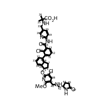 COc1nc(O[C@H]2CCc3c(-c4cccc(C(=O)Nc5ccc(CNC(C)(C)C(=O)O)cn5)c4Cl)cccc32)c(Cl)cc1CNC[C@@H]1CCC(=O)N1